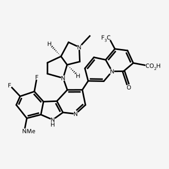 CNc1cc(F)c(F)c2c1[nH]c1ncc(-c3ccc4c(C(F)(F)F)cc(C(=O)O)c(=O)n4c3)c(N3CC[C@H]4CN(C)C[C@H]43)c12